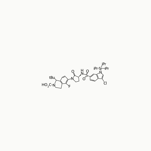 CC(C)[Si](C(C)C)(C(C)C)n1cc(Cl)c2ccc(S(=O)(=O)N[C@H]3CCN(c4ccc5c(c4F)CCN(C(=O)O)C5C(C)(C)C)C3=O)cc21